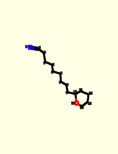 N#CCCCCCCCCC1CCCCO1